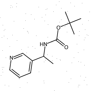 CC(NC(=O)OC(C)(C)C)c1c[c]cnc1